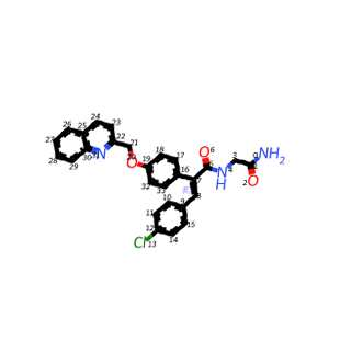 NC(=O)CNC(=O)/C(=C/c1ccc(Cl)cc1)c1ccc(OCc2ccc3ccccc3n2)cc1